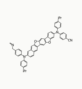 C=NCc1ccc(N(c2ccc(C(C)C)cc2)c2ccc3cc4c(cc3c2)oc2cc3c(cc24)oc2cc(N(c4ccc(C#N)cc4)c4ccc(C(C)C)cc4)ccc23)cc1